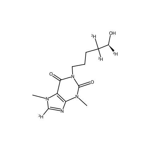 [2H]c1nc2c(c(=O)n(CCCC([2H])([2H])[C@H]([2H])O)c(=O)n2C)n1C